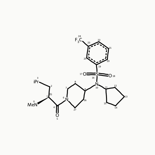 CN[C@@H](CC(C)C)C(=O)N1CCC(N(C2CCCC2)S(=O)(=O)c2cccc(C(F)(F)F)c2)CC1